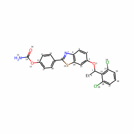 CCC(Oc1ccc2nc(-c3ccc(OC(N)=O)cc3)sc2c1)c1c(Cl)cccc1Cl